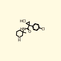 CC1(NC(=O)C2(c3ccc(Cl)cc3)CC2)CCCNC1.Cl